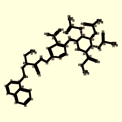 CCN(COc1cccc2ccccc12)C(=O)OCc1ccc(O[C@@H]2O[C@H](C(=O)OC)[C@@H](OC(C)=O)[C@H](OC(C)=O)[C@H]2OC(C)=O)c([N+](=O)[O-])c1